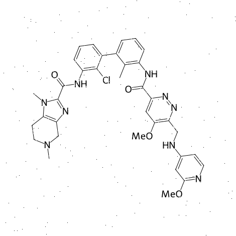 COc1cc(NCc2nnc(C(=O)Nc3cccc(-c4cccc(NC(=O)c5nc6c(n5C)CCN(C)C6)c4Cl)c3C)cc2OC)ccn1